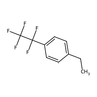 CCc1[c]cc(C(F)(F)C(F)(F)F)cc1